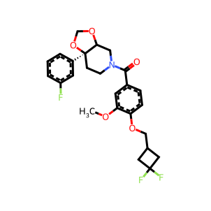 COc1cc(C(=O)N2CC[C@@]3(c4cccc(F)c4)OCOC3C2)ccc1OCC1CC(F)(F)C1